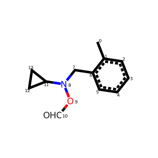 Cc1ccccc1CN(OC=O)C1CC1